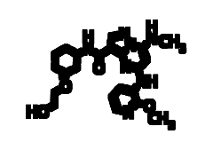 CNc1cc(Nc2cccnc2OC)nc2c(C(=O)NC3CCC[C@H](OCCO)C3)cnn12